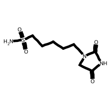 NS(=O)(=O)CCCCCN1CC(=O)NC1=O